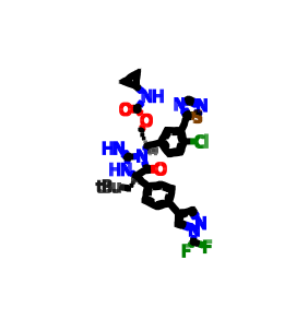 CC(C)(C)C[C@]1(c2ccc(-c3cnn(C(F)F)c3)cc2)NC(=N)N([C@H](COC(=O)NC2CC2)c2ccc(Cl)c(-c3ncns3)c2)C1=O